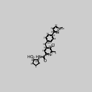 Cc1nc(C(=O)N[C@H]2CCC[C@@H]2O)cc(Cc2ccc(-c3ccn(C)n3)cc2)c1Cl